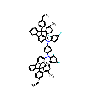 C=Cc1ccc(C2(c3cc(C)ccc3C)c3ccccc3-c3ccc(N(c4ccc(N(c5ccc6c(c5)C(c5ccc(C=C)cc5)(c5cc(C)ccc5C)c5ccccc5-6)c5ccc(F)cc5F)cc4)c4ccc(F)cc4F)cc32)cc1